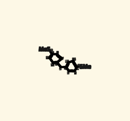 CSc1ccc(Cc2ccc(SC)cc2)cc1